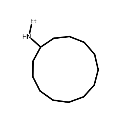 CCNC1CCCCCCCCCCCC1